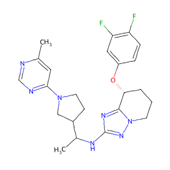 Cc1cc(N2CCC(C(C)Nc3nc4n(n3)CCC[C@H]4Oc3ccc(F)c(F)c3)C2)ncn1